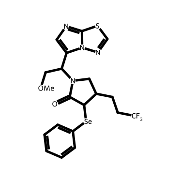 COCC(c1cnc2scnn12)N1CC(CCC(F)(F)F)C([Se]c2ccccc2)C1=O